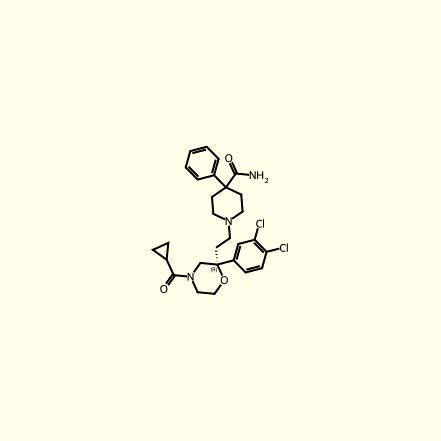 NC(=O)C1(c2ccccc2)CCN(CC[C@@]2(c3ccc(Cl)c(Cl)c3)CN(C(=O)C3CC3)CCO2)CC1